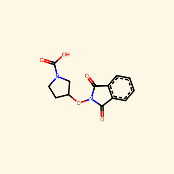 O=C(O)N1CCC(ON2C(=O)c3ccccc3C2=O)C1